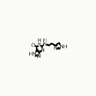 O=c1[nH]c(NCCc2c[nH]cn2)nc2nc[nH]c12